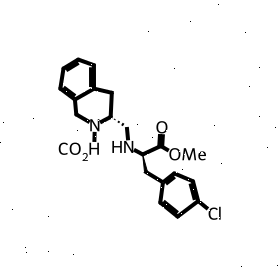 COC(=O)[C@@H](Cc1ccc(Cl)cc1)NC[C@H]1Cc2ccccc2CN1C(=O)O